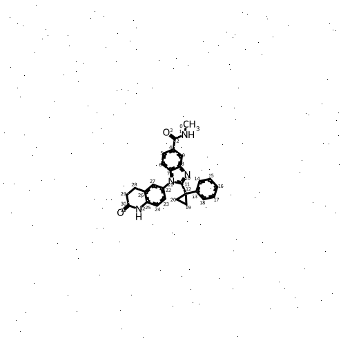 CNC(=O)c1ccc2c(c1)nc(C1(c3ccccc3)CC1)n2-c1ccc2c(c1)CCC(=O)N2